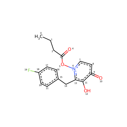 CCCC(=O)On1ccc(=O)c(O)c1Cc1ccc(F)cc1